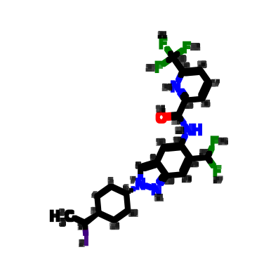 CC(I)[C@H]1CC[C@H](n2cc3cc(NC(=O)c4cccc(C(F)(F)F)n4)c(C(F)F)cc3n2)CC1